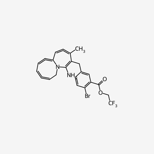 CC1=C=CC2=C=CC=C=CCN2C(N)=C1Cc1ccc(Br)c(C(=O)OCC(F)(F)F)c1